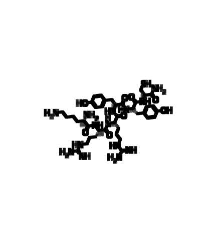 N=C(N)NCCC[C@H](NC(=O)[C@H](CCCNC(=N)N)NC(=O)[C@@H](N)CCCCN)C(=O)N[C@@H](Cc1ccc(O)cc1)C(=O)N[C@@H](Cc1ccc(O)cc1)C(=O)N[C@@H](CS)C(N)=O